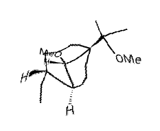 CO[C@H]1[C@H]2C[C@@]1(C(C)(C)OC)CC[C@H]2C